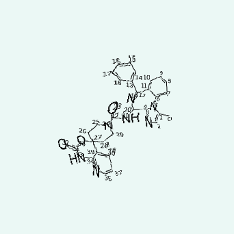 Cc1cnc2n1-c1ccccc1C(c1ccccc1)=NC2NC(=O)N1CCC2(CC1)OC(=O)Nc1ncccc12